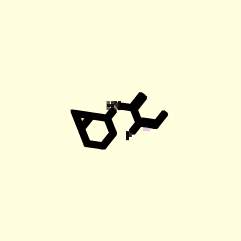 C=C(NC1CCCC2CC21)/C(F)=C\C